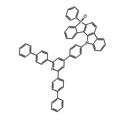 O=P1(c2ccccc2)c2ccccc2-c2c1ccc1c3ccccc3n(-c3ccc(-c4cc(-c5ccc(-c6ccccc6)cc5)nc(-c5ccc(-c6ccccc6)cc5)c4)cc3)c21